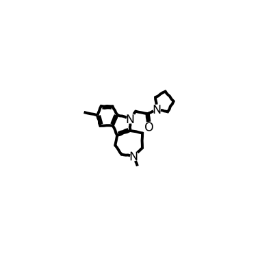 Cc1ccc2c(c1)c1c(n2CC(=O)N2CCCC2)CCN(C)CC1